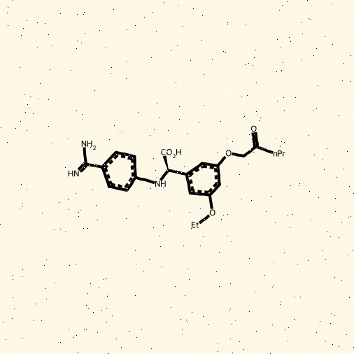 CCCC(=O)COc1cc(OCC)cc([C@@H](Nc2ccc(C(=N)N)cc2)C(=O)O)c1